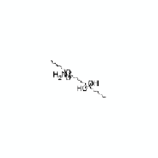 CCCCCCCCC(O)C(O)CCCCCCCC(=O)OC(N)CCCCCCC